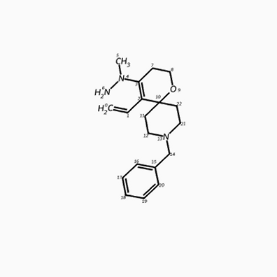 C=CC1=C(N(C)N)CCOC12CCN(Cc1ccccc1)CC2